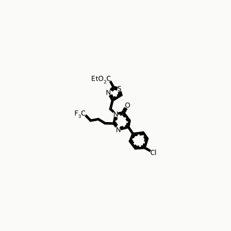 CCOC(=O)c1nc(Cn2c(CCCC(F)(F)F)nc(-c3ccc(Cl)cc3)cc2=O)cs1